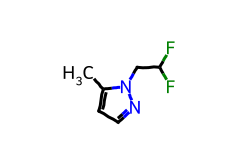 Cc1ccnn1CC(F)F